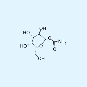 NC(=O)O[C@@H]1O[C@H](CO)[C@H](O)[C@H](O)[C@H]1O